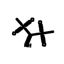 CS(=O)(=O)C(=N)S(C)(=O)=O